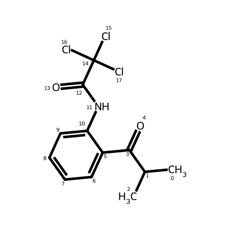 CC(C)C(=O)c1ccccc1NC(=O)C(Cl)(Cl)Cl